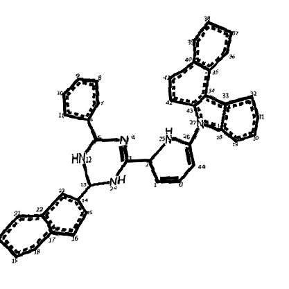 C1=CC(C2=NC(c3ccccc3)NC(c3ccc4ccccc4c3)N2)NC(n2c3ccccc3c3c4ccccc4ccc32)=C1